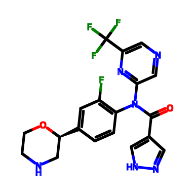 O=C(c1cn[nH]c1)N(c1cncc(C(F)(F)F)n1)c1ccc([C@H]2CNCCO2)cc1F